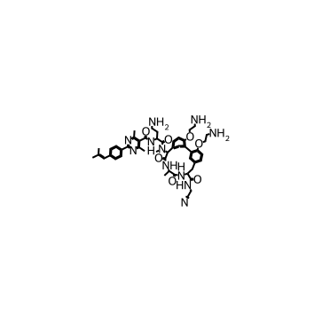 CC(C)=Cc1ccc(-c2nc(C)c(C(=O)NC(CCN)C(=O)N(C)C3C(=O)NC(C)C(=O)NC(C(=O)NCC#N)Cc4ccc(OCCN)c(c4)-c4cc3ccc4OCCN)c(C)n2)cc1